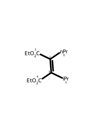 CCCC(C(=O)OCC)=C(C(=O)OCC)C(C)C